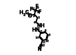 COC(CCNNc1cccc(C#N)c1)C(F)(F)F